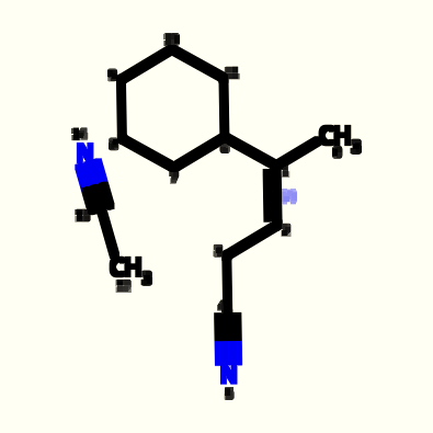 C/C(=C/CC#N)C1CCCCC1.CC#N